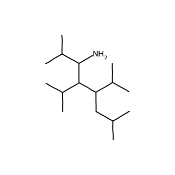 CC(C)CC(C(C)C)C(C(C)C)C(N)C(C)C